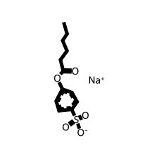 CCCCCC(=O)Oc1ccc(S(=O)(=O)[O-])cc1.[Na+]